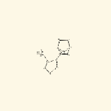 CC1CCCC1C1=C2CCC(C2)C1